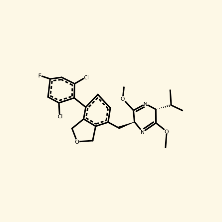 COC1=N[C@H](C(C)C)C(OC)=N[C@H]1Cc1ccc(-c2c(Cl)cc(F)cc2Cl)c2c1COC2